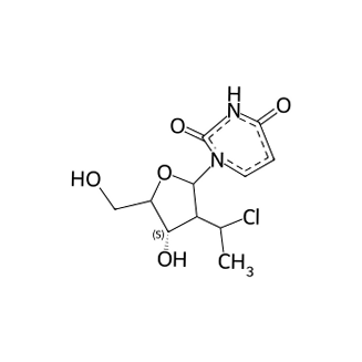 CC(Cl)C1C(n2ccc(=O)[nH]c2=O)OC(CO)[C@H]1O